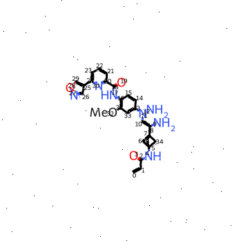 C=CC(=O)NC12CC(/C(N)=C/N(N)c3ccc(NC(=O)c4cccc(-c5cnoc5)n4)c(OC)c3)(C1)C2